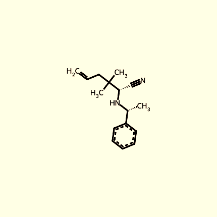 C=CCC(C)(C)[C@H](C#N)N[C@H](C)c1ccccc1